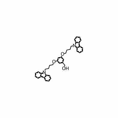 OCc1cc(OCCCCn2c3ccccc3c3ccccc32)cc(OCCCCn2c3ccccc3c3ccccc32)c1